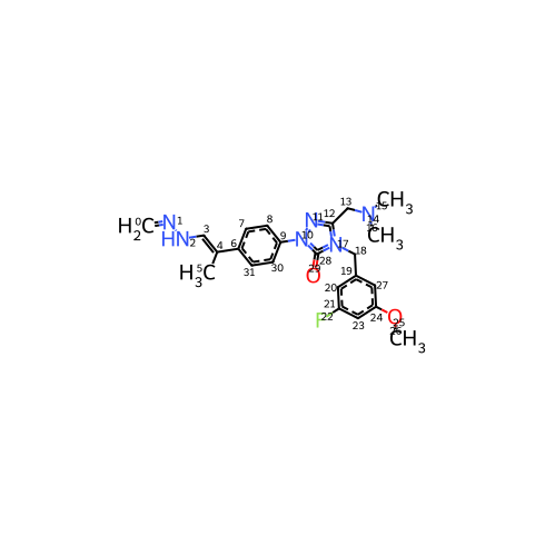 C=NN/C=C(\C)c1ccc(-n2nc(CN(C)C)n(Cc3cc(F)cc(OC)c3)c2=O)cc1